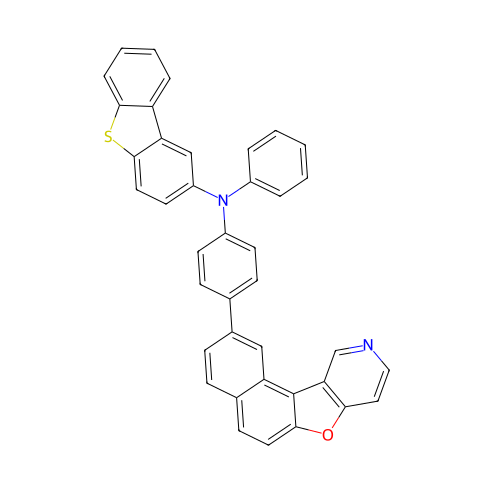 c1ccc(N(c2ccc(-c3ccc4ccc5oc6ccncc6c5c4c3)cc2)c2ccc3sc4ccccc4c3c2)cc1